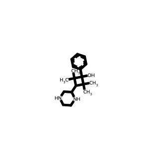 CC1(C)C(C2CNCCN2)C(C)(C)C1(O)c1ccccc1